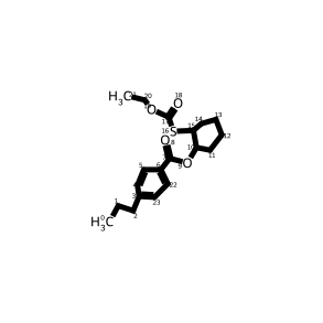 CCCc1ccc(C(=O)OC2CCCCC2SC(=O)OCC)cc1